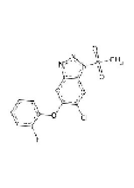 CS(=O)(=O)n1nnc2cc(Oc3ccccc3F)c(Cl)cc21